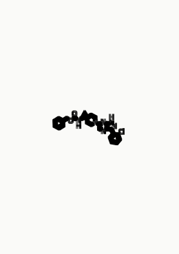 O=C(NC1CC12CCN(c1cnc3c(-c4ccccc4Cl)n[nH]c3n1)CC2)OCc1ccccc1